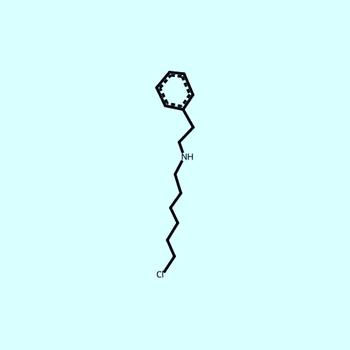 ClCCCCCCNCCc1ccccc1